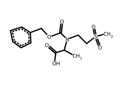 CC(C(=O)O)N(CCS(C)(=O)=O)C(=O)OCc1ccccc1